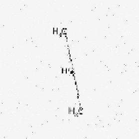 CCCCCCCCCCCCCCCCCC[SiH]CCCCCCCCCCCCCCCCCC